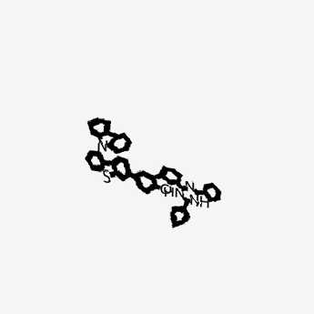 c1ccc(C2N=C(c3cccc4c3oc3ccc(-c5ccc6c(c5)sc5cccc(-n7c8ccccc8c8ccccc87)c56)cc34)NC(c3ccccc3)N2)cc1